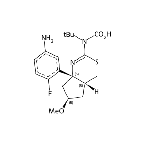 CO[C@@H]1C[C@H]2CSC(N(C(=O)O)C(C)(C)C)=N[C@@]2(c2cc(N)ccc2F)C1